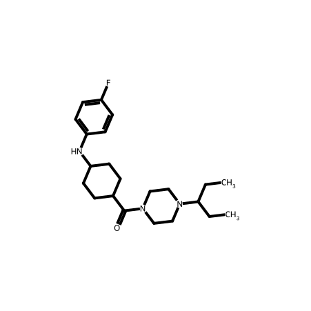 CCC(CC)N1CCN(C(=O)C2CCC(Nc3ccc(F)cc3)CC2)CC1